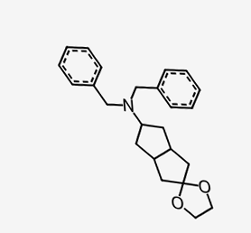 c1ccc(CN(Cc2ccccc2)C2CC3CC4(CC3C2)OCCO4)cc1